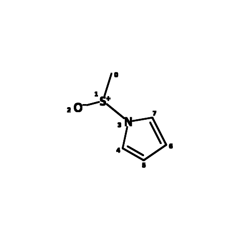 C[S+]([O-])n1cccc1